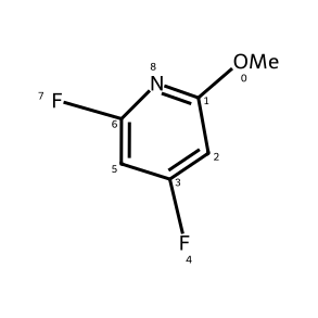 COc1cc(F)cc(F)n1